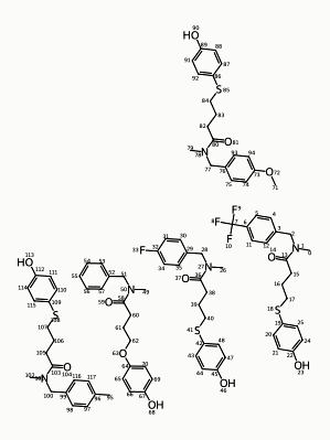 CN(Cc1ccc(C(F)(F)F)cc1)C(=O)CCCSc1ccc(O)cc1.CN(Cc1ccc(F)cc1)C(=O)CCCSc1ccc(O)cc1.CN(Cc1ccccc1)C(=O)CCCOc1ccc(O)cc1.COc1ccc(CN(C)C(=O)CCCSc2ccc(O)cc2)cc1.Cc1ccc(CN(C)C(=O)CCCSc2ccc(O)cc2)cc1